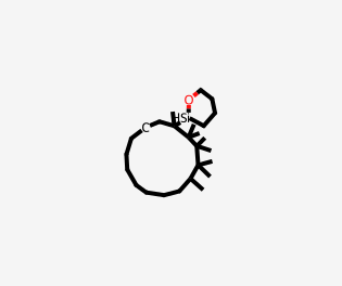 CC1CCCCCCCCCC(C)([SiH]2CCCCO2)C(C)(C)C(C)(C)C1(C)C